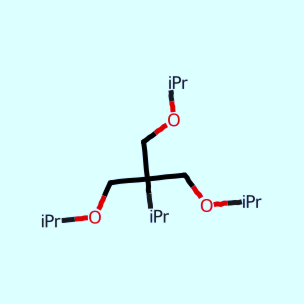 CC(C)OCC(COC(C)C)(COC(C)C)C(C)C